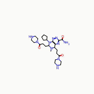 CN1C(CCC(=O)N2CCNCC2)c2nc(C(N)=O)nnc2N(C2CCCC2)C1CCC(=O)N1CCNCC1